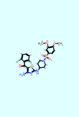 COc1ccc(S(=O)(=O)N2CCC(Nc3nc(N)c(C(=O)c4c(F)cccc4F)s3)CC2)cc1OC